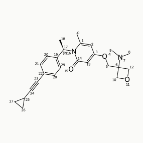 Cc1cc(OCC2(N(C)C)COC2)cc(=O)n1[C@H](C)c1ccc(C#CC2CC2)cc1